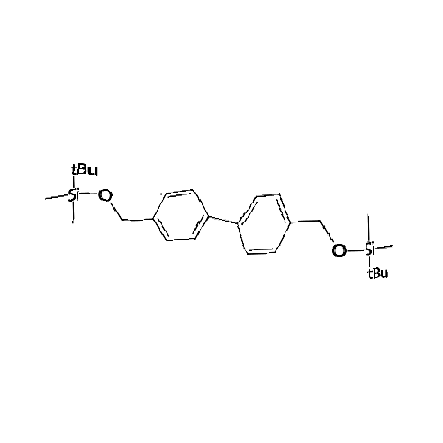 CC(C)(C)[Si](C)(C)OCc1[c]cc(-c2ccc(CO[Si](C)(C)C(C)(C)C)cc2)cc1